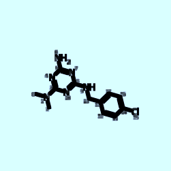 CN(C)c1nc(N)nc(NCc2ccc(Cl)cc2)n1